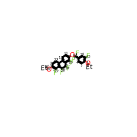 CCOc1ccc(C(F)(F)Oc2ccc3c(c2F)C(F)C(F)c2c-3ccc(OCC)c2F)cc1F